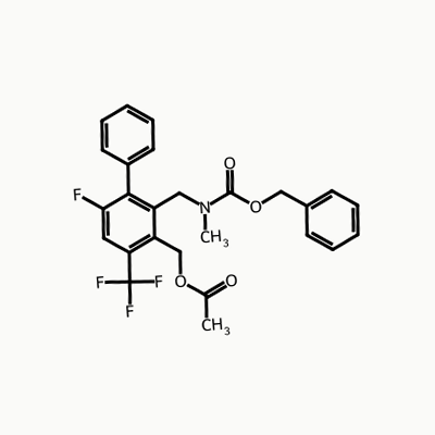 CC(=O)OCc1c(C(F)(F)F)cc(F)c(-c2ccccc2)c1CN(C)C(=O)OCc1ccccc1